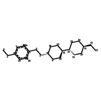 CCc1cnc(CC[C@H]2CC[C@H]([C@H]3CC[C@H](CC)CC3)CC2)nc1